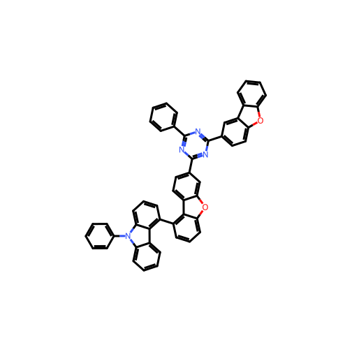 c1ccc(-c2nc(-c3ccc4c(c3)oc3cccc(-c5cccc6c5c5ccccc5n6-c5ccccc5)c34)nc(-c3ccc4oc5ccccc5c4c3)n2)cc1